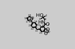 CC(C)(O)CNC(=O)c1cc(Cc2ccc(-n3cccn3)cc2)cc2c1OCO2